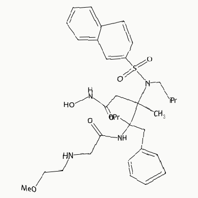 CCCC(Cc1ccccc1)(NC(=O)CNCCOC)C(C)(CC(=O)NO)N(CC(C)C)S(=O)(=O)c1ccc2ccccc2c1